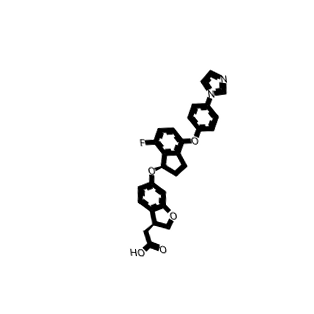 O=C(O)C[C@@H]1COc2cc(O[C@@H]3CCc4c(Oc5ccc(-n6ccnc6)cc5)ccc(F)c43)ccc21